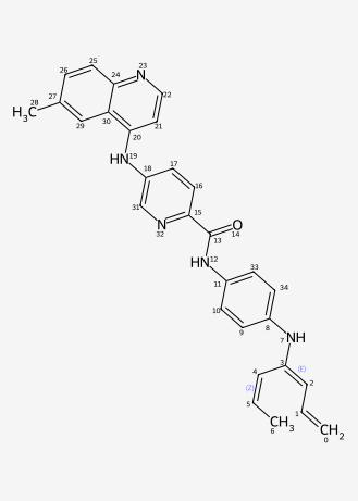 C=C/C=C(\C=C/C)Nc1ccc(NC(=O)c2ccc(Nc3ccnc4ccc(C)cc34)cn2)cc1